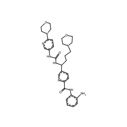 Nc1ccccc1NC(=O)c1ccc(C(CCCN2CCOCC2)NC(=O)Nc2ccc(N3CCOCC3)nc2)cn1